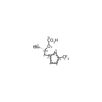 CC(C)(C)[C@@H](Cn1ccc(C(F)(F)F)n1)OC(=O)O